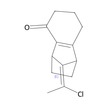 C/C(Cl)=C1/C2CCC1C1=C2CCCC1=O